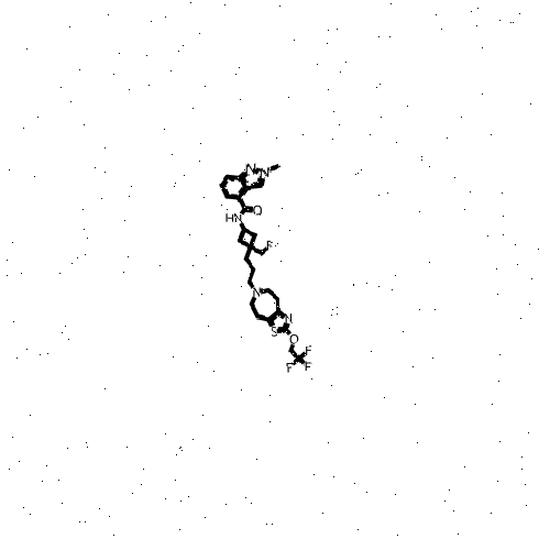 Cn1cc2c(C(=O)NC3CC(CF)(CCCN4CCc5nc(OCC(F)(F)F)sc5CC4)C3)cccc2n1